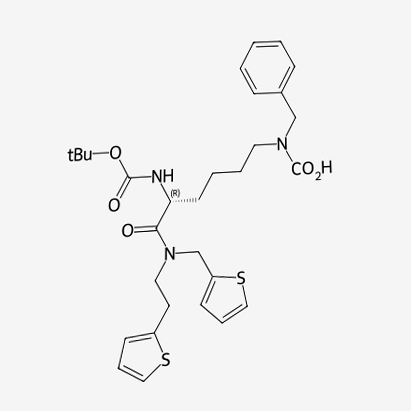 CC(C)(C)OC(=O)N[C@H](CCCCN(Cc1ccccc1)C(=O)O)C(=O)N(CCc1cccs1)Cc1cccs1